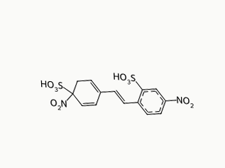 O=[N+]([O-])c1ccc(C=CC2=CCC([N+](=O)[O-])(S(=O)(=O)O)C=C2)c(S(=O)(=O)O)c1